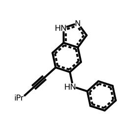 CC(C)C#Cc1cc2[nH]ncc2cc1Nc1ccccc1